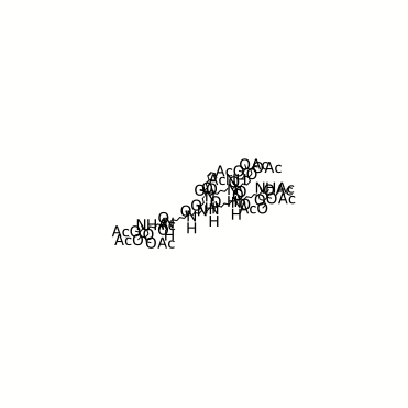 CC(=O)NC1C(CCCC(=O)C(=O)NCCCCC(=O)NCCN(CCNC(=O)CCCCNC(=O)C(=O)CCCC2OC(COC(C)=O)C(OC(C)=O)C(OC(C)=O)C2NC(C)=O)C(=O)CC[C@H](NC(=O)CCCCNC(=O)C(=O)CCCC2OC(COC(C)=O)C(OC(C)=O)C(OC(C)=O)C2NC(C)=O)C(=O)OCc2ccccc2)OC(COC(C)=O)C(OC(C)=O)C1OC(C)=O